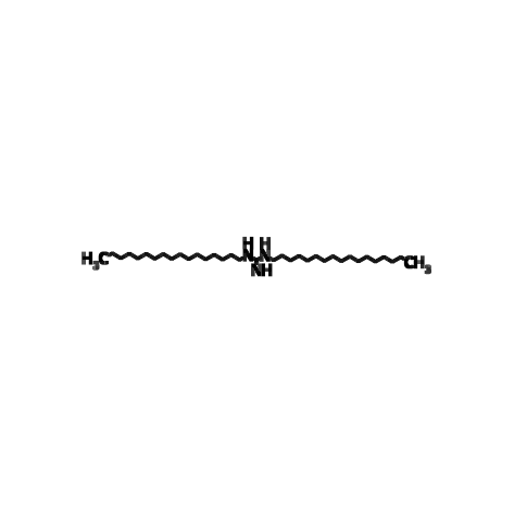 CCCCCCCCCCCCCCCCCNC(=N)NCCCCCCCCCCCCCCCCC